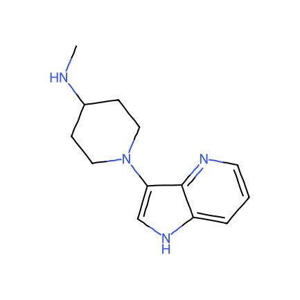 CNC1CCN(c2c[nH]c3cccnc23)CC1